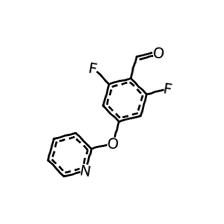 O=Cc1c(F)cc(Oc2ccccn2)cc1F